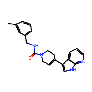 Cc1cccc(CNC(=O)N2CC=C(c3c[nH]c4ncccc34)CC2)c1